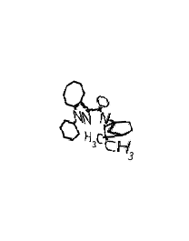 CC1(C)C2CCC3(C2)C1N3C(=O)c1nn(C2CCCCC2)c2c1CCCCCC2